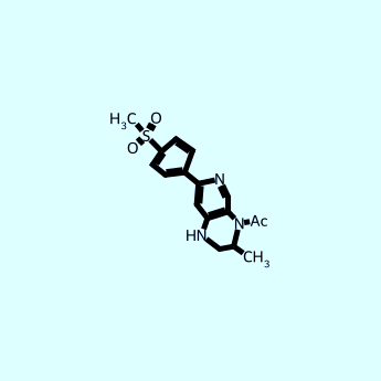 CC(=O)N1c2cnc(-c3ccc(S(C)(=O)=O)cc3)cc2NCC1C